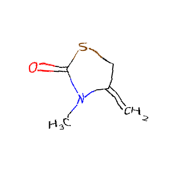 C=C1CSC(=O)N1C